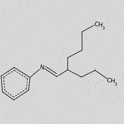 C[CH]CC(C=Nc1ccccc1)CCCC